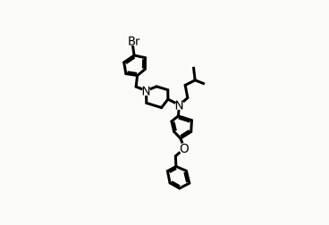 CC(C)CCN(c1ccc(OCc2ccccc2)cc1)C1CCN(Cc2ccc(Br)cc2)CC1